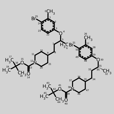 Cc1cc(OC(C)CCC2CCN(C(=O)OC(C)(C)C)CC2)ccc1Br.Cc1cc(O[C@H](C)CCC2CCN(C(=O)OC(C)(C)C)CC2)ccc1Br